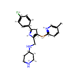 Cc1ccc(SC2=C(CNC3CCNCC3)N=C(c3ccc(F)cc3)C2)nc1